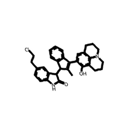 CC1=C(c2cc3c4c(c2O)CCCN4CCC3)c2ccccc2C1C1C(=O)Nc2ccc(CCCl)cc21